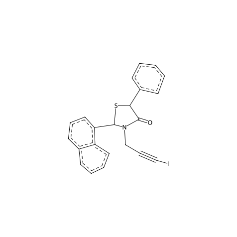 O=C1C(c2ccccc2)SC(c2cccc3ccccc23)N1CC#CI